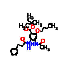 CCCCOc1cc(NC(C)=O)c(NC(=O)CCc2ccccc2)cc1C(=O)OC(C)(C)C